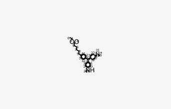 CCOC(=O)CCCCCc1ccc(C(=C2C=CC(=[N+](C)C)C=C2)c2ccc(NC)cc2)cc1